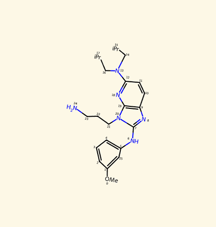 COc1cccc(Nc2nc3ccc(N(CC(C)C)CC(C)C)nc3n2CCCN)c1